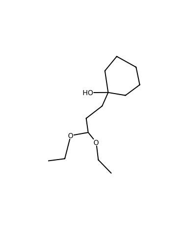 CCOC(CCC1(O)CCCCC1)OCC